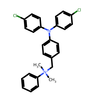 C[N+](C)(Cc1ccc(N(c2ccc(Cl)cc2)c2ccc(Cl)cc2)cc1)c1ccccc1